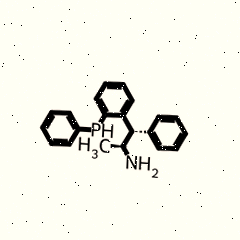 C[C@H](N)[C@@H](c1ccccc1)c1ccccc1Pc1ccccc1